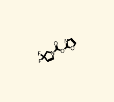 O=C(Oc1ncco1)N1C=CC(F)(F)C1